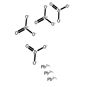 O=[N+]([O-])[O-].O=[N+]([O-])[O-].[O]=[Zr]([O-])[O-].[O]=[Zr]([O-])[O-].[Pb+2].[Pb+2].[Pb+2]